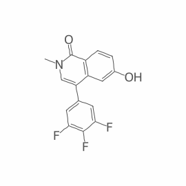 Cn1cc(-c2cc(F)c(F)c(F)c2)c2cc(O)ccc2c1=O